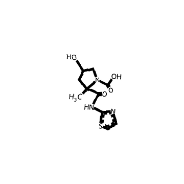 CC1(C(=O)Nc2nccs2)CC(O)CN1C(=O)O